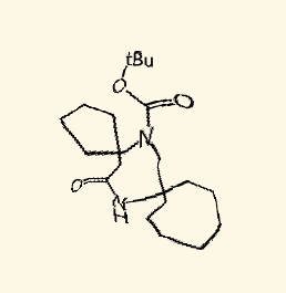 CC(C)(C)OC(=O)N1CC2(CCCCCC2)NC(=O)C12CCCC2